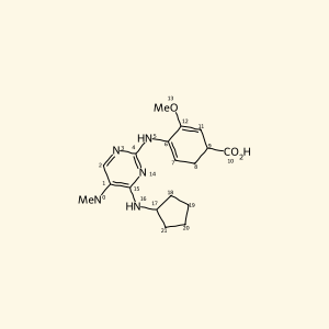 CNc1cnc(NC2=CCC(C(=O)O)C=C2OC)nc1NC1CCCC1